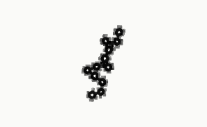 c1ccc(-c2cccc(-c3cccc(-c4ccc(-c5ccccc5-c5ccc(-n6c7ccccc7c7cc(-c8ccc9c(c8)c8ccccc8n9-c8cccc(-c9ccccc9)c8)ccc76)cc5)cc4)c3)c2)cc1